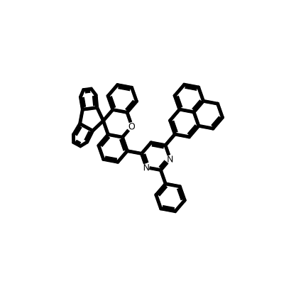 C1=Cc2cc(-c3cc(-c4cccc5c4Oc4ccccc4C54c5ccccc5-c5ccccc54)nc(-c4ccccc4)n3)cc3cccc(c23)C1